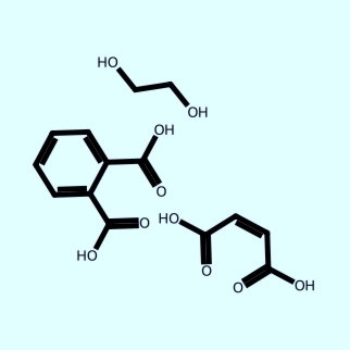 O=C(O)/C=C\C(=O)O.O=C(O)c1ccccc1C(=O)O.OCCO